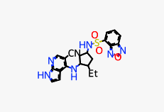 CCC1CC(NS(=O)(=O)c2cccc3nonc23)CC1Nc1c(C#N)cnc2[nH]ccc12